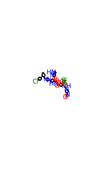 CC1(C)CCC(CN2CCN(c3ccc(C(=O)NS(=O)(=O)c4ccc(NCCN5CCC(N=S(C)(C)=O)CC5)c(S(=O)(=O)C(F)(F)F)c4)c(Oc4cnc5[nH]ccc5c4)c3)CC2)=C(c2ccc(Cl)cc2)C1